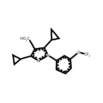 O=C(O)c1c(C2CC2)nn(-c2cccc(OC(F)(F)F)c2)c1C1CC1